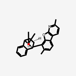 Cc1ccc2c(n1)oc1c(N3C4CCC(c5ccccc54)N(C)[C@@H]3C)c(C)ccc12